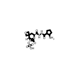 NC1CCCC1C(=O)NNC(=O)[C@@H]1CC2(COC2)[C@@H]2CN1C(=O)N2OS(=O)(=O)O